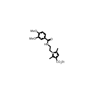 CCOC(=O)c1cc(C)n(CCNC(=O)c2ccc(OC)c(OC)c2)c1C